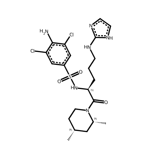 C[C@@H]1CCN(C(=O)[C@H](CCCNc2ncc[nH]2)NS(=O)(=O)c2cc(Cl)c(N)c(Cl)c2)[C@H](C)C1